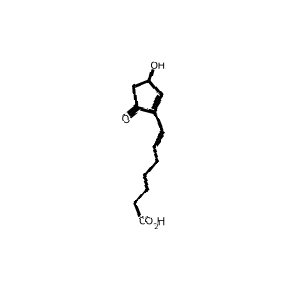 O=C(O)CCCCC=CC1=CC(O)CC1=O